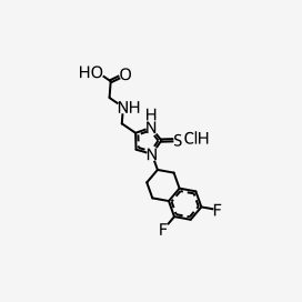 Cl.O=C(O)CNCc1cn(C2CCc3c(F)cc(F)cc3C2)c(=S)[nH]1